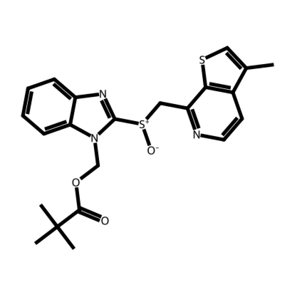 Cc1csc2c(C[S+]([O-])c3nc4ccccc4n3COC(=O)C(C)(C)C)nccc12